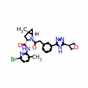 Cc1ccc(Br)nc1NC(=O)[C@@H]1C[C@@]2(C)C[C@H]2N1C(=O)Cc1cccc(-c2nnc(C3COC3)[nH]2)c1